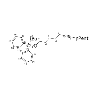 CCCCCC#CCCCCCO[Si](c1ccccc1)(c1ccccc1)C(C)(C)C